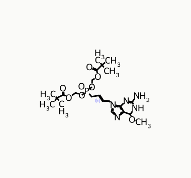 COC1NC(N)=Nc2c1ncn2C/C=C/CP(=O)(OCOC(=O)C(C)(C)C)OCOC(=O)C(C)(C)C